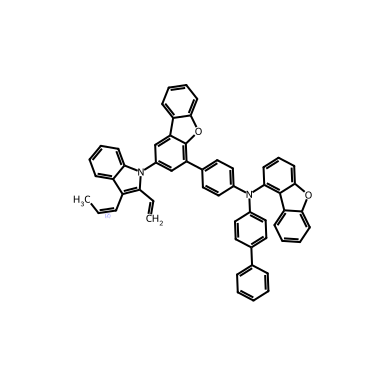 C=Cc1c(/C=C\C)c2ccccc2n1-c1cc(-c2ccc(N(c3ccc(-c4ccccc4)cc3)c3cccc4oc5ccccc5c34)cc2)c2oc3ccccc3c2c1